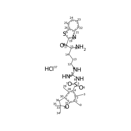 Cc1c(C)c(S(=O)(=O)NC(=N)NCCCC(N)C(=O)c2nc3ccccc3s2)c(C)c2c1OC(C)(C)C2.Cl